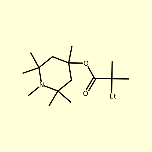 CCC(C)(C)C(=O)OC1(C)CC(C)(C)N(C)C(C)(C)C1